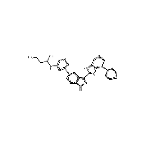 CCCC(O)Nc1cncc(-c2ccc3[nH]nc(-c4nc5c(-c6ccncc6)cncc5[nH]4)c3c2)c1